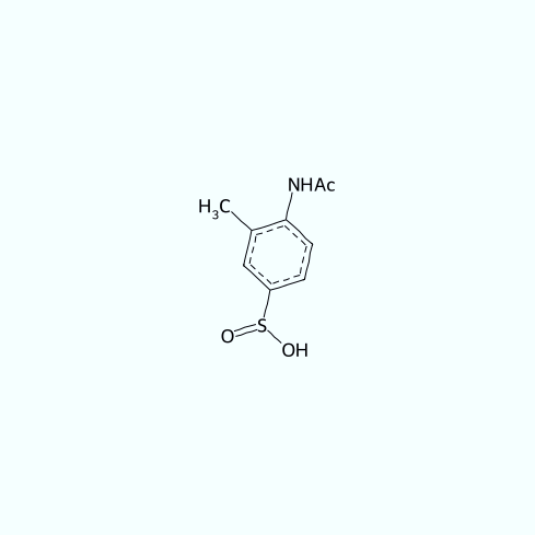 CC(=O)Nc1ccc(S(=O)O)cc1C